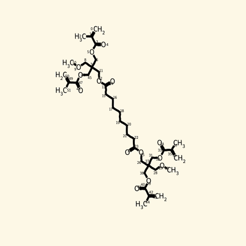 C=C(C)C(=O)OCC(COC)(COC(=O)CCCCCCCCC(=O)OCC(COC)(COC(=O)C(=C)C)COC(=O)C(=C)C)COC(=O)C(=C)C